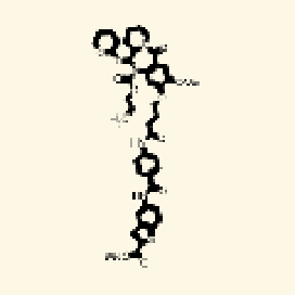 C=CCOC(=O)N1c2cc(OCCCC(=O)Nc3ccc(C(=O)Nc4ccc5sc(C(=O)OC)cc5c4)cc3)c(OC)cc2C(=O)N2CCCCC2C1OC1CCCCO1